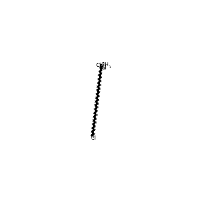 C[Si](Cl)(Cl)CCCCCCCCCCCCCCCCCCCCCCCCCCCCCCCCCCCCCCl